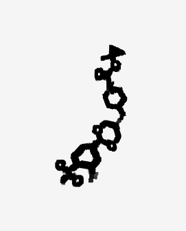 CC1(OC(=O)N2CCC(C[C@H]3CO[C@H](c4ccc(S(C)(=O)=O)c(F)c4)OC3)CC2)CC1